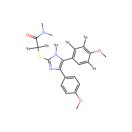 [3H]c1cc(-c2c(-c3ccc(OC)cc3)nc(SC([3H])([3H])C(=O)N(C)C)n2[3H])c([3H])c([3H])c1OC